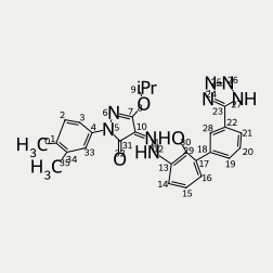 Cc1ccc(N2N=C(OC(C)C)/C(=N/Nc3cccc(-c4cccc(-c5nnn[nH]5)c4)c3O)C2=O)cc1C